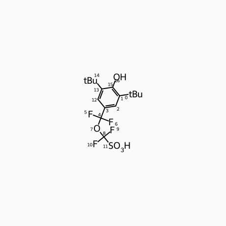 CC(C)(C)c1cc(C(F)(F)OC(F)(F)S(=O)(=O)O)cc(C(C)(C)C)c1O